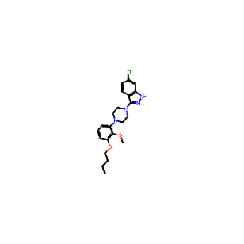 CCCCOc1[c]ccc(N2CCN(c3n[nH]c4cc(Cl)ccc34)CC2)c1OC